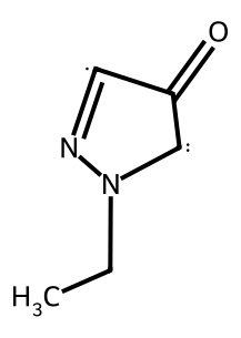 CCN1[C]C(=O)[C]=N1